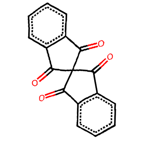 O=C1c2ccccc2C(=O)C12C(=O)c1ccccc1C2=O